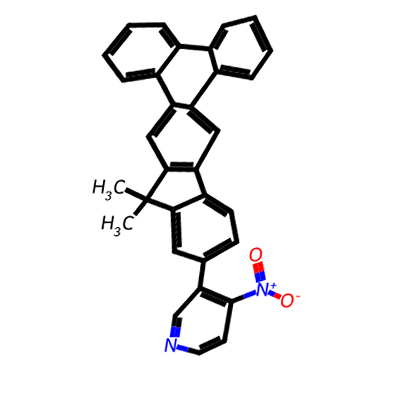 CC1(C)c2cc(-c3cnccc3[N+](=O)[O-])ccc2-c2cc3c4ccccc4c4ccccc4c3cc21